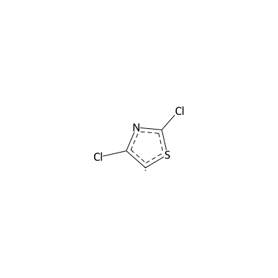 Clc1[c]sc(Cl)n1